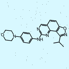 CC(C)c1noc2ccc3cnc(Nc4ccc(N5CCOCC5)cc4)nc3c12